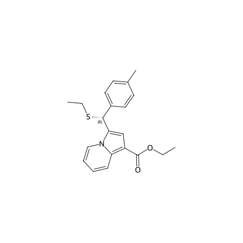 CCOC(=O)c1cc([C@H](SCC)c2ccc(C)cc2)n2ccccc12